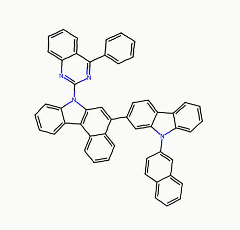 c1ccc(-c2nc(-n3c4ccccc4c4c5ccccc5c(-c5ccc6c7ccccc7n(-c7ccc8ccccc8c7)c6c5)cc43)nc3ccccc23)cc1